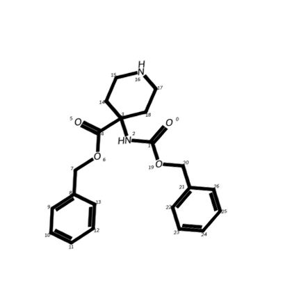 O=C(NC1(C(=O)OCc2ccccc2)CCNCC1)OCc1ccccc1